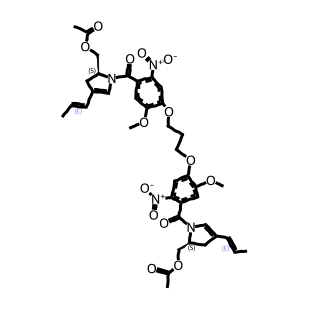 C/C=C/C1=CN(C(=O)c2cc(OC)c(OCCCOc3cc([N+](=O)[O-])c(C(=O)N4C=C(/C=C/C)C[C@H]4COC(C)=O)cc3OC)cc2[N+](=O)[O-])[C@H](COC(C)=O)C1